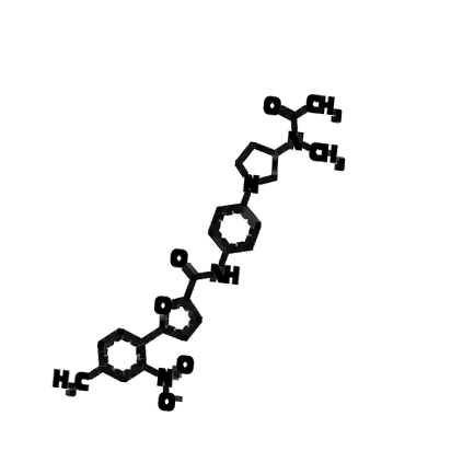 CC(=O)N(C)C1CCN(c2ccc(NC(=O)c3ccc(-c4ccc(C)cc4[N+](=O)[O-])o3)cc2)C1